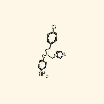 Nc1ccc(OC(CCc2ccc(Cl)cc2)Cn2ccnc2)cc1